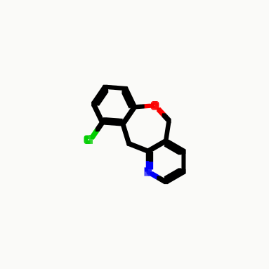 Clc1cccc2c1Cc1ncccc1CO2